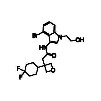 O=C(CC1(C2CCC(F)(F)CC2)COC1)Nc1cn(CCO)c2cccc(Br)c12